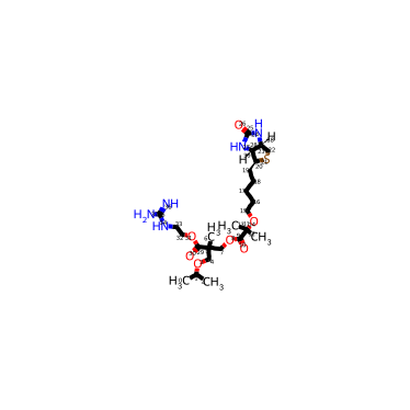 CC(C)OCC(C)(COC(=O)C(C)(C)OCCCCC[C@@H]1SC[C@@H]2NC(=O)N[C@@H]21)C(=O)OCCNC(=N)N